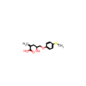 C=C(CC(O)COc1ccc(SC)cc1)C(=O)O